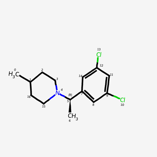 CC1CCN([C@H](C)c2cc(Cl)cc(Cl)c2)CC1